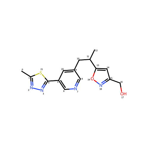 Cc1nnc(-c2cncc(CC(C)c3cc(CO)no3)c2)s1